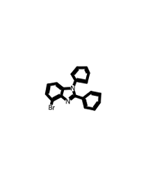 Brc1cccc2c1nc(-c1ccccc1)n2-c1ccccc1